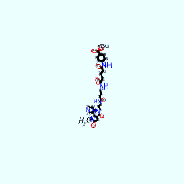 CN1C(=O)C[C@H](C(=O)NCCCNC(=O)CCCNC(=O)CCCC(=O)NC2CCC(C(=O)OC(C)(C)C)CC2)[C@H]1c1cccnc1